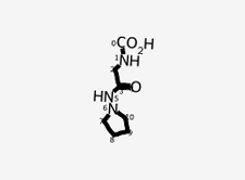 O=C(O)NCC(=O)NN1CCCC1